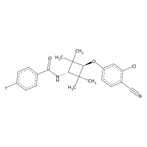 CC1(C)[C@H](NC(=O)c2ccc(I)cc2)C(C)(C)[C@H]1Oc1ccc(C#N)c(Cl)c1